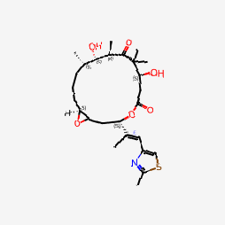 C/C(=C\c1csc(C)n1)[C@@H]1CC2O[C@H]2CCC[C@H](C)[C@H](O)[C@@H](C)C(=O)C(C)(C)[C@@H](O)CC(=O)O1